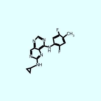 Cc1cc(F)c(Nc2ncnc3cnc(NC4CC4)nc23)cc1F